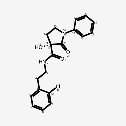 O=C(NCCc1ccccc1Cl)[C@@]1(O)CCN(c2ccccc2)C1=O